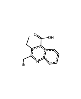 CCc1c(CBr)nc2ccccc2c1C(=O)O